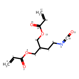 C=CC(=O)OCC(CCN=C=O)COC(=O)C=C